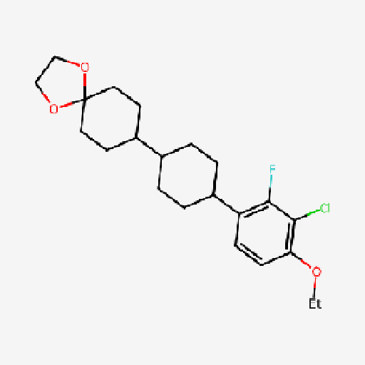 CCOc1ccc(C2CCC(C3CCC4(CC3)OCCO4)CC2)c(F)c1Cl